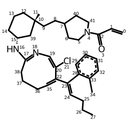 C=CC(=O)N1CCC(CC[C@@]2(C)CCC[C@@H](N/C3=N/C=C(Cl)\C(C(=C\CCC)\c4ccccc4C)=C/CCC3)C2)CC1